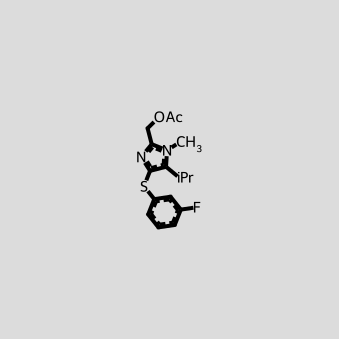 CC(=O)OCc1nc(Sc2cccc(F)c2)c(C(C)C)n1C